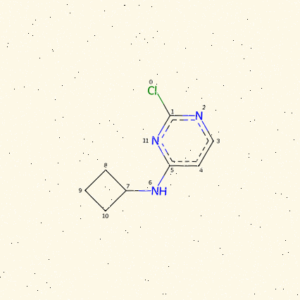 Clc1nccc(NC2CCC2)n1